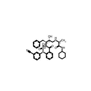 C[C@H](NC[C@@H](O)[C@H](Cc1ccccc1)NC(=O)c1ccccc1N(c1cccc(C#N)c1)S(C)(=O)=O)C(=O)NC1CCCCC1